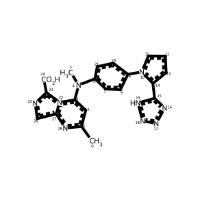 Cc1cc(N(C)c2ccc(-n3cccc3-c3nnn[nH]3)cc2)n2c(C(=O)O)ncc2n1